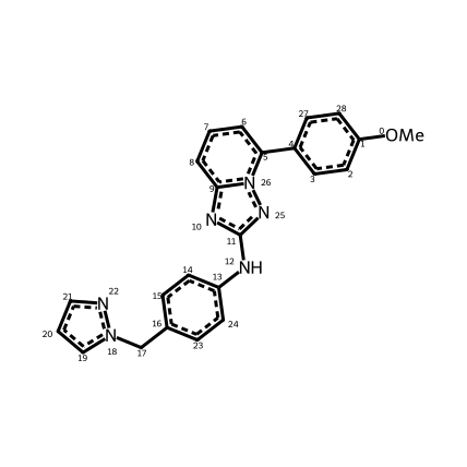 COc1ccc(-c2cccc3nc(Nc4ccc(Cn5cccn5)cc4)nn23)cc1